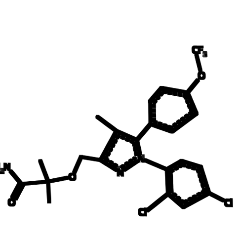 Cc1c(COC(C)(C)C(N)=O)nn(-c2ccc(Cl)cc2Cl)c1-c1ccc(OC(F)(F)F)cc1